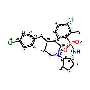 Cc1c(Cl)cccc1S(=O)(=O)N[C@@H]1CCC[C@H]1N1CCC(Cc2ccc(Cl)cc2)CC1